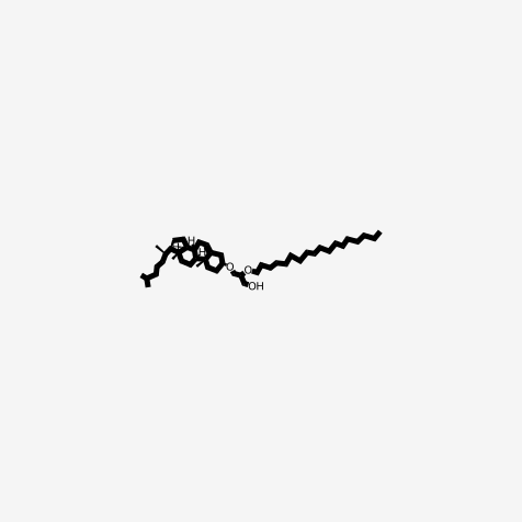 CCCCCCCCCCCCCCCCCCOC(CO)CO[C@H]1CC[C@@]2(C)C(=CC[C@H]3[C@@H]4CC[C@H]([C@H](C)CCCC(C)C)[C@@]4(C)CC[C@@H]32)C1